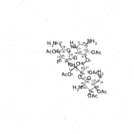 CC(=O)OC[C@H]1O[C@@H](O[C@@H]2[C@@H](OC(C)=O)[C@H](N)C[C@H](N)[C@H]2O[C@H]2O[C@H](CN)[C@H](OC(C)=O)[C@H](F)[C@H]2N)[C@H](OC(C)=O)[C@@H]1O[C@H]1O[C@@H](CN)[C@@H](OC(C)=O)[C@H](OC(C)=O)[C@H]1N